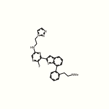 CNCCc1ccccc1-c1cccc2cc(-c3nc(NCCn4ccnn4)cnc3F)sc12